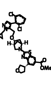 COC(=O)c1cc([C@@H]2CCOC2)c2nc(N3C[C@@H]4C[C@H]3C[C@H]4OCc3c(-c4c(Cl)cccc4Cl)cnn3C3CC3)sc2c1